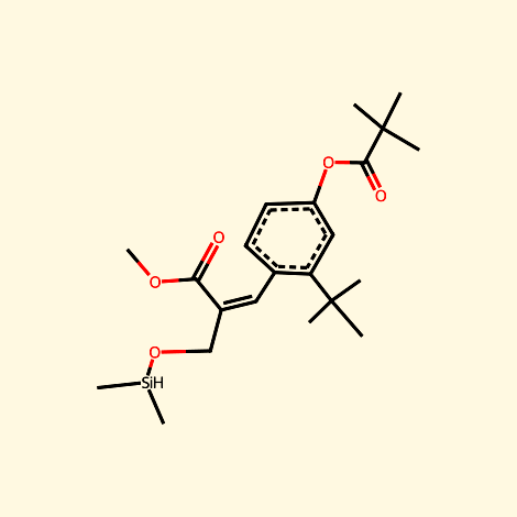 COC(=O)C(=Cc1ccc(OC(=O)C(C)(C)C)cc1C(C)(C)C)CO[SiH](C)C